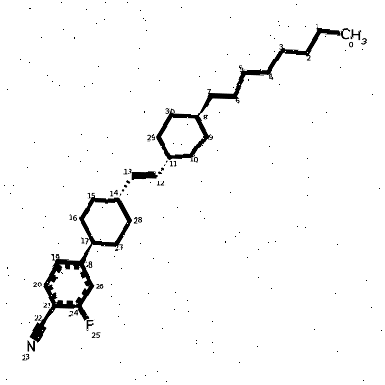 CCCCCCCC[C@H]1CC[C@H](C=C[C@H]2CC[C@H](c3ccc(C#N)c(F)c3)CC2)CC1